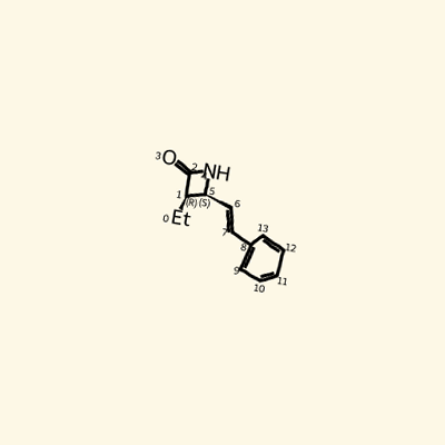 CC[C@H]1C(=O)N[C@H]1C=Cc1ccccc1